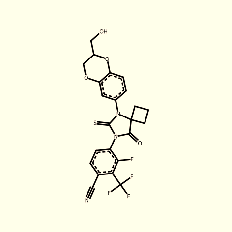 N#Cc1ccc(N2C(=O)C3(CCC3)N(c3ccc4c(c3)OCC(CO)O4)C2=S)c(F)c1C(F)(F)F